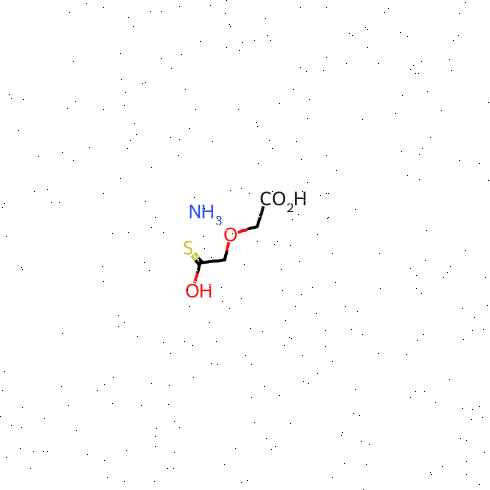 N.O=C(O)COCC(O)=S